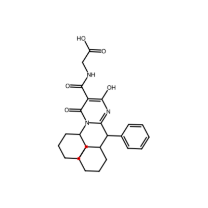 O=C(O)CNC(=O)c1c(O)nc(C(c2ccccc2)C2CCCCC2)n(C2CCCCC2)c1=O